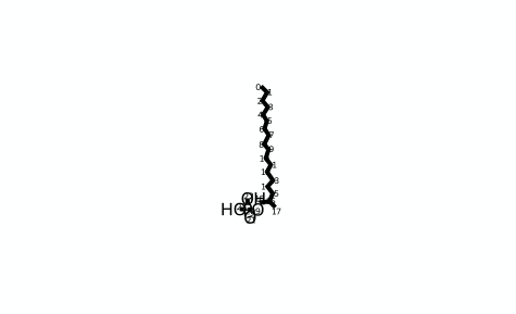 CCCCCCCCCCCCCCCCC(C)COP(=O)(O)O